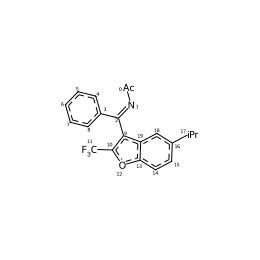 CC(=O)N=C(c1ccccc1)c1c(C(F)(F)F)oc2ccc(C(C)C)cc12